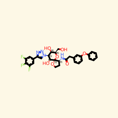 O=C(Cc1cccc(Oc2ccccc2)c1)N[C@@H]1CCO[C@]12O[C@H](CO)[C@H](O)[C@H](n1cc(-c3cc(F)c(F)c(F)c3)nn1)[C@H]2O